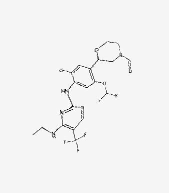 CCNc1nc(Nc2cc(OC(F)F)c(C3CN(C=O)CCO3)cc2Cl)ncc1C(F)(F)F